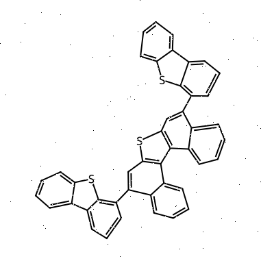 c1ccc2c(c1)sc1c(-c3cc4sc5cc(-c6cccc7c6sc6ccccc67)c6ccccc6c5c4c4ccccc34)cccc12